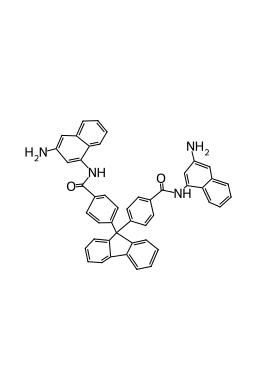 Nc1cc(NC(=O)c2ccc(C3(c4ccc(C(=O)Nc5cc(N)cc6ccccc56)cc4)c4ccccc4-c4ccccc43)cc2)c2ccccc2c1